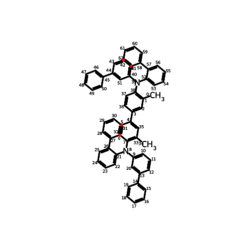 Cc1cc(-c2ccc(N(c3cccc(-c4ccccc4)c3)c3ccccc3-c3ccccc3)c(C)c2)ccc1N(c1cccc(-c2ccccc2)c1)c1ccccc1-c1ccccc1